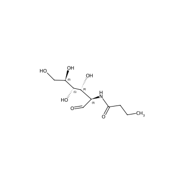 CCCC(=O)N[C@@H](C=O)[C@@H](O)[C@H](O)[C@H](O)CO